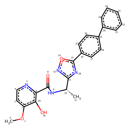 COc1ccnc(C(=O)N[C@@H](C)c2noc(-c3ccc(-c4ccccc4)cc3)n2)c1O